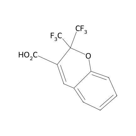 O=C(O)C1=Cc2ccccc2OC1(C(F)(F)F)C(F)(F)F